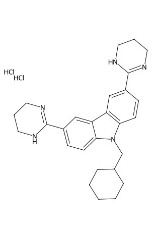 Cl.Cl.c1cc2c(cc1C1=NCCCN1)c1cc(C3=NCCCN3)ccc1n2CC1CCCCC1